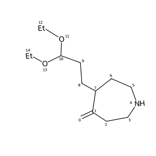 C=C1CCNCCC1CCC(OCC)OCC